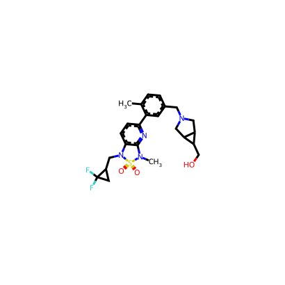 Cc1ccc(CN2CC3C(CO)C3C2)cc1-c1ccc2c(n1)N(C)S(=O)(=O)N2CC1CC1(F)F